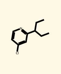 CC[C](CC)c1cc(Cl)ccn1